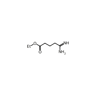 CCOC(=O)CCCC(=N)N